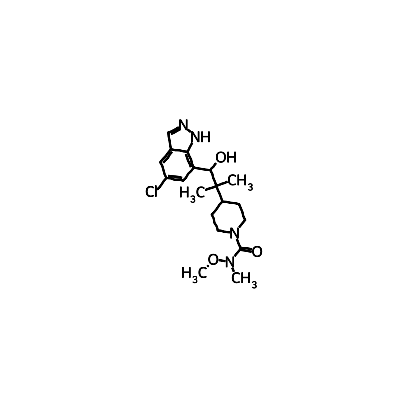 CON(C)C(=O)N1CCC(C(C)(C)C(O)c2cc(Cl)cc3cn[nH]c23)CC1